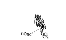 CCCCCCCCCCCCCCCCCCC[C@H](COP(=O)(O)OC1[C@@]2(C)O[C@@H](c3ccc4c(N)ncnn34)[C@H](O)[C@@]12O)OCc1ccc(C#N)c(Cl)c1